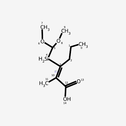 CCC/C([SiH2]C(OC)OC)=C(/C)C(=O)O